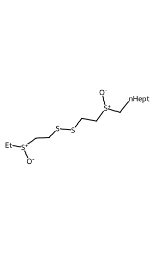 CCCCCCCC[S+]([O-])CCSSCC[S+]([O-])CC